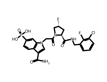 NC(=O)c1cn(CC(=O)N2C[C@H](F)C[C@H]2C(=O)NCc2cccc(Cl)c2F)c2cc(P(=O)(O)O)ccc12